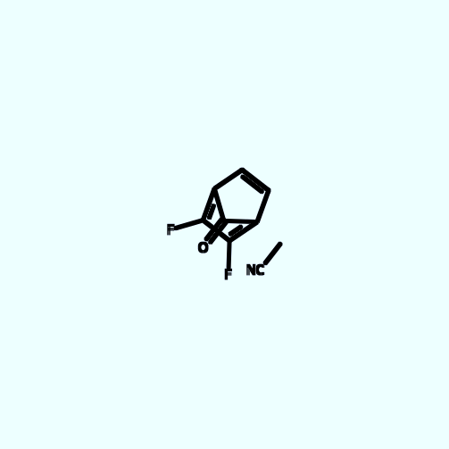 CC#N.O=C1C2=C(F)C(F)=C1C=C2